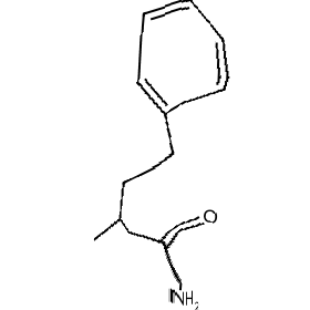 CC(CCc1ccccc1)C(N)=O